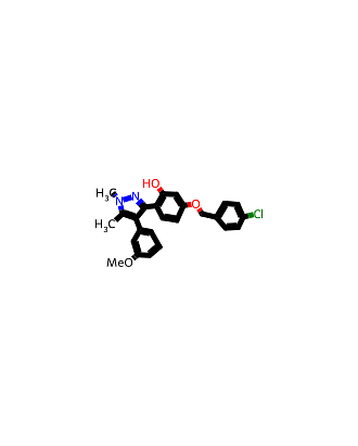 COc1cccc(-c2c(-c3ccc(OCc4ccc(Cl)cc4)cc3O)nn(C)c2C)c1